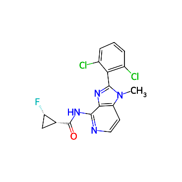 Cn1c(-c2c(Cl)cccc2Cl)nc2c(NC(=O)[C@@H]3C[C@@H]3F)nccc21